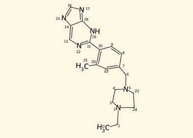 CCN1CCN(Cc2ccc(-c3ncc4ncnc-4[nH]3)c(C)c2)CC1